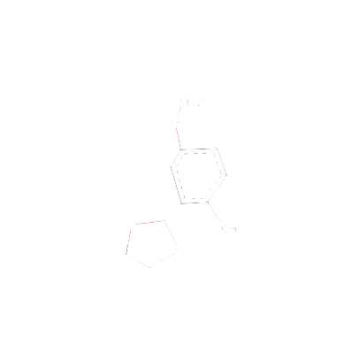 COc1ccc(C)c(C2OCCO2)c1